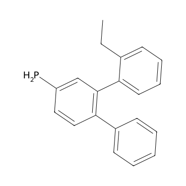 CCc1ccccc1-c1cc(P)ccc1-c1ccccc1